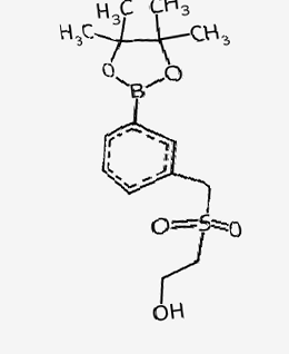 CC1(C)OB(c2cccc(CS(=O)(=O)CCO)c2)OC1(C)C